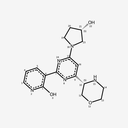 Oc1ncccc1-c1nc([C@H]2COCCN2)cc(N2CC[C@H](O)C2)n1